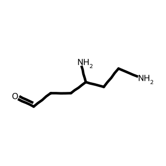 NCCC(N)CCC=O